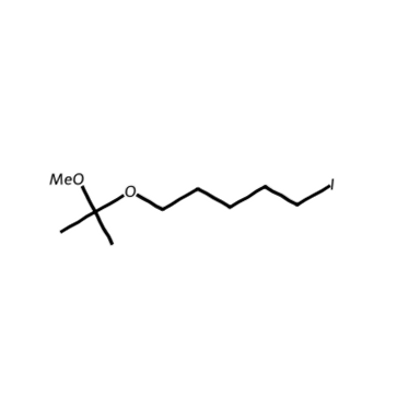 COC(C)(C)OCCCCCI